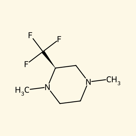 CN1CCN(C)[C@@H](C(F)(F)F)C1